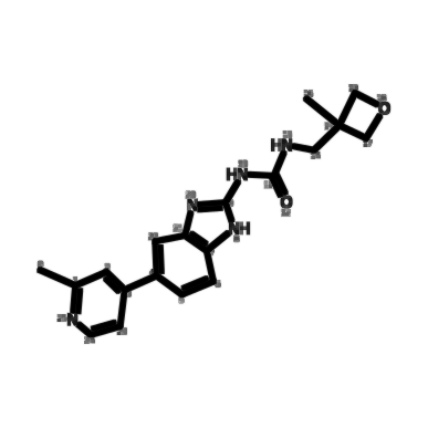 Cc1cc(-c2ccc3[nH]c(NC(=O)NCC4(C)COC4)nc3c2)ccn1